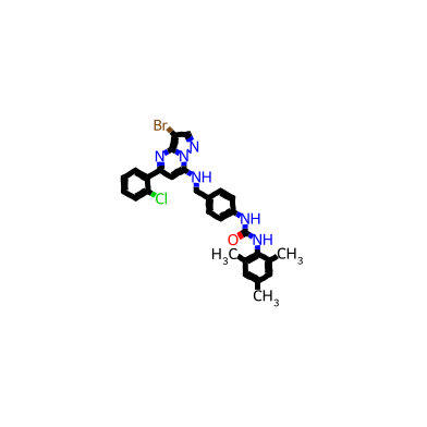 Cc1cc(C)c(NC(=O)Nc2ccc(CNc3cc(-c4ccccc4Cl)nc4c(Br)cnn34)cc2)c(C)c1